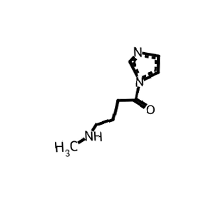 CNCCCC(=O)n1ccnc1